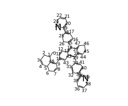 CC1CC=CC2CC=CC(c3ccc4c(C5=CC=C(c6ccccn6)CC5)c5c(c(-c6ccc(-c7ccccn7)cc6)c4c3)=CCCC=5)=C12